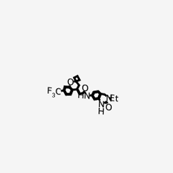 CCN1Cc2ccc(NC(=O)/C=C3\CC4(CCC4)Oc4cc(C(F)(F)F)ccc43)cc2NC1=O